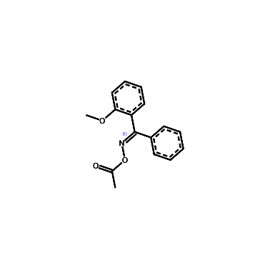 COc1ccccc1/C(=N/OC(C)=O)c1ccccc1